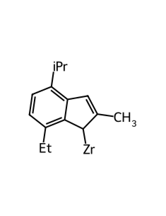 CCc1ccc(C(C)C)c2c1[CH]([Zr])C(C)=C2